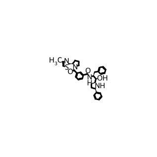 Cc1csc([C@H]2CCCN2C(=O)c2cccc(C(=O)N[C@@H](Cc3ccccc3)[C@H](O)[C@@H]3CC[C@H](c4ccccc4)N3)c2)n1